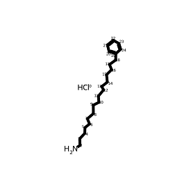 Cl.NCCCCCCCCCCCCCCCCCc1ccccc1